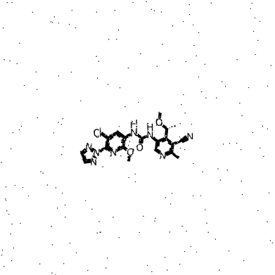 COc1nc(-n2nccn2)c(Cl)cc1NC(=O)Nc1cnc(C)c(C#N)c1[C@@H](C)OC